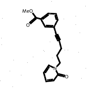 COC(=O)c1cccc(C#CCCCn2ccccc2=O)c1